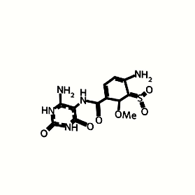 COC1C(C(=O)Nc2c(N)[nH]c(=O)[nH]c2=O)=CC=C(N)C1=S(=O)=O